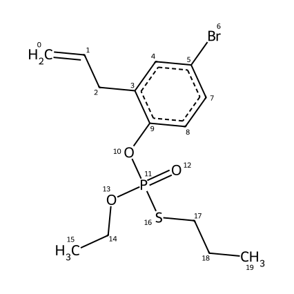 C=CCc1cc(Br)ccc1OP(=O)(OCC)SCCC